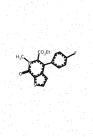 CCOC(=O)c1c(-c2ccc(F)cc2)c2ccsc2c(=O)n1C